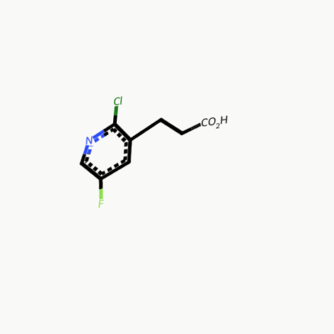 O=C(O)CCc1cc(F)cnc1Cl